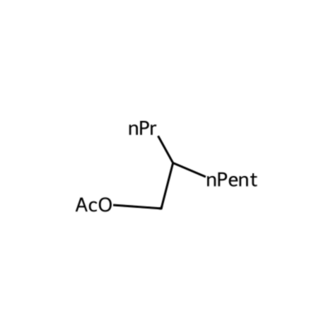 CCCCCC(CCC)COC(C)=O